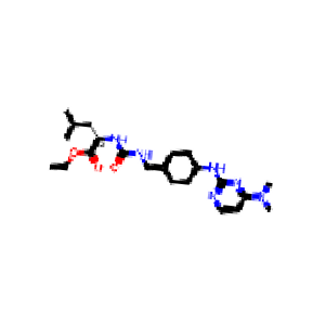 CCOC(=O)[C@H](CC(C)C)NC(=O)NCC1CCC(Nc2nccc(N(C)C)n2)CC1